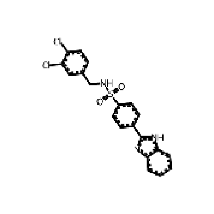 O=S(=O)(NCc1ccc(Cl)c(Cl)c1)c1ccc(-c2nc3ccccc3[nH]2)cc1